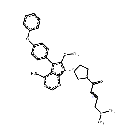 COc1c(-c2ccc(Oc3ccccc3)cc2)c2c(N)ncnc2n1[C@@H]1CCN(C(=O)/C=C/CN(C)C)C1